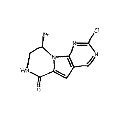 CC(C)[C@@H]1CNC(=O)c2cc3cnc(Cl)nc3n21